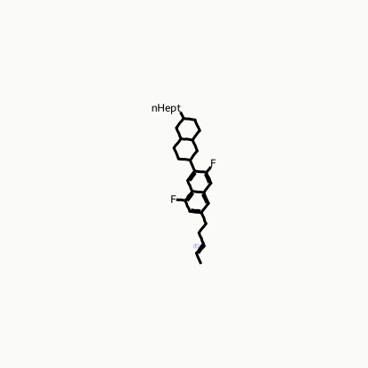 C/C=C/CCc1cc(F)c2cc(C3CCC4CC(CCCCCCC)CCC4C3)c(F)cc2c1